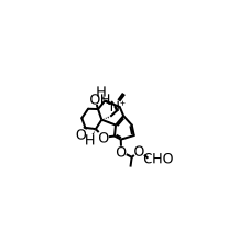 C=[N+]1CC[C@]23c4c5ccc(OC(C)OC=O)c4O[C@H]2C(=O)CCC3(O)[C@H]1C5